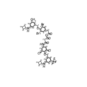 Cc1cc(COc2c(Br)cc(CC(=O)OC(=O)CC(=O)Nc3cc(Cl)c(OCc4cc(NC5CCC5)cc(C(F)(F)F)c4)c(Cl)c3)cc2Br)cc(NC2CCC2)c1